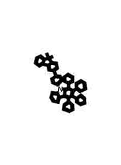 CC1(C)c2ccccc2-c2cc(-c3ccc(-n4c5ccccc5c5c(-c6ccccc6)c(-c6ccccc6)c(-c6ccccc6)c(-c6ccccc6)c54)cc3)ccc21